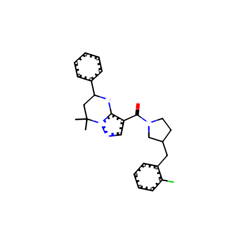 CC1(C)CC(c2ccccc2)Nc2c(C(=O)N3CCC(Cc4ccccc4Cl)C3)cnn21